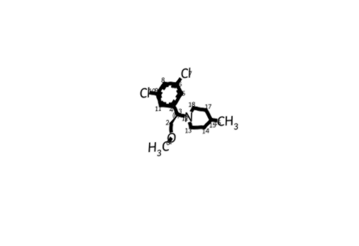 COC[C@@H](c1cc(Cl)cc(Cl)c1)N1CCC(C)CC1